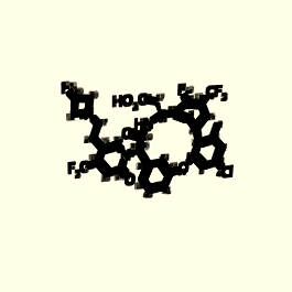 Cc1cc(Cl)cc2c1-c1cc(c(F)c(C(F)(F)F)c1)[C@@H](CC(=O)O)NC(=O)[C@H](n1cc(CCN3CC(F)C3)c(C(F)(F)F)cc1=O)c1cccc(c1)O2